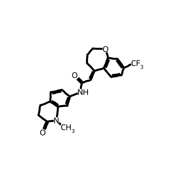 CN1C(=O)CCc2ccc(NC(=O)C=C3CCCOc4cc(C(F)(F)F)ccc43)cc21